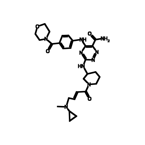 CN(CC=CC(=O)N1CCCC(Nc2nnc(C(N)=O)c(Nc3ccc(C(=O)N4CCOCC4)cc3)n2)C1)C1CC1